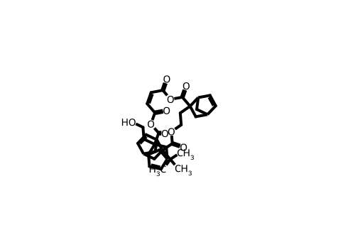 CC(C)(C)C1(C(=O)OCCC2(C(=O)OC(=O)/C=C\C(=O)OC(=O)C3(CCO)CC4C=CC3C4)CC3C=CC2C3)CC2C=CC1C2